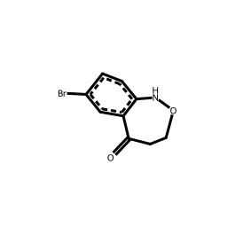 O=C1CCONc2ccc(Br)cc21